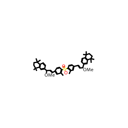 COC(C=Cc1ccc(S(=O)(=O)c2ccc(C=CC(OC)c3ccc4c(c3)C(C)(C)CCC4(C)C)cc2C)c(C)c1)c1ccc2c(c1)C(C)(C)CCC2(C)C